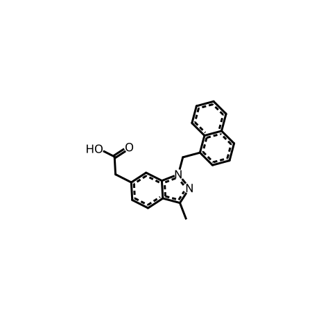 Cc1nn(Cc2cccc3ccccc23)c2cc(CC(=O)O)ccc12